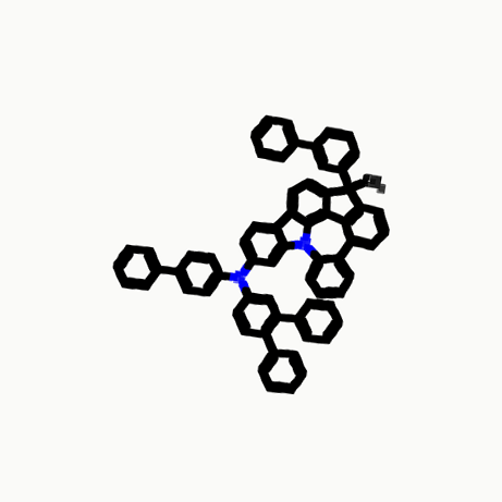 CC1(c2cccc(-c3ccccc3)c2)c2cccc3c2-c2c1ccc1c4ccc(N(c5ccc(-c6ccccc6)cc5)c5ccc(-c6ccccc6)c(-c6ccccc6)c5)cc4n(c21)-c1ccccc1-3